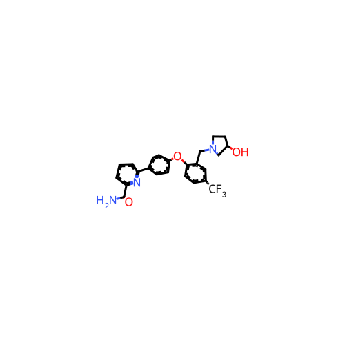 NC(=O)c1cccc(-c2ccc(Oc3ccc(C(F)(F)F)cc3CN3CCC(O)C3)cc2)n1